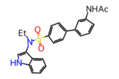 CCN(c1c[nH]c2ccccc12)S(=O)(=O)c1ccc(-c2cccc(NC(C)=O)c2)cc1